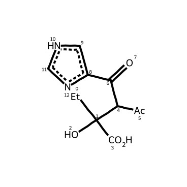 CCC(O)(C(=O)O)C(C(C)=O)C(=O)c1c[nH]cn1